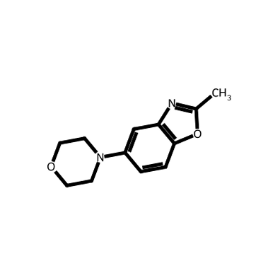 Cc1nc2cc(N3CCOCC3)ccc2o1